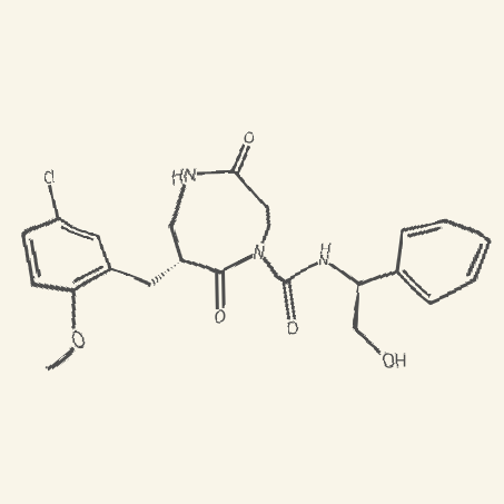 COc1ccc(Cl)cc1C[C@@H]1CNC(=O)CN(C(=O)N[C@H](CO)c2ccccc2)C1=O